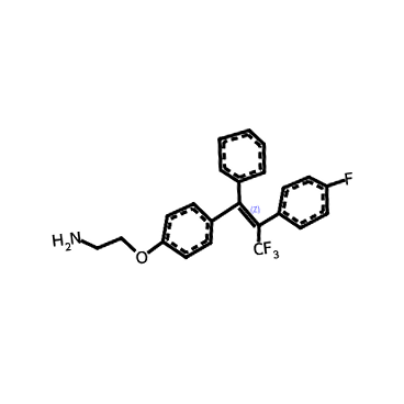 NCCOc1ccc(/C(=C(/c2ccc(F)cc2)C(F)(F)F)c2ccccc2)cc1